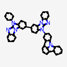 c1ccc(-n2c3ccc(-c4ccc5c(c4)n4c6ccccc6nc4n5-c4ccc5c(c4)c4cccc6c7ccccc7n5c64)cc3n3c4ccccc4nc23)cc1